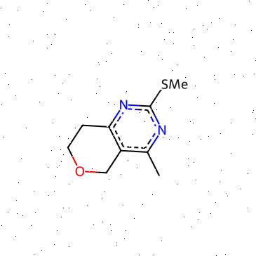 CSc1nc(C)c2c(n1)CCOC2